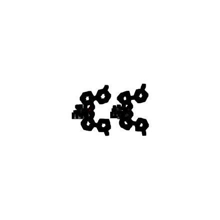 C[CH2][Hf]([CH3])([CH3])([CH3])(=[SiH2])([CH]1C=Cc2c(-c3cccc(C)c3)cccc21)[CH]1C=Cc2c(-c3cccc(C)c3)cccc21.C[CH2][Hf]([CH3])([CH3])([CH3])(=[SiH2])([CH]1C=Cc2c(-c3cccc(C)c3)cccc21)[CH]1C=Cc2c(-c3cccc(C)c3)cccc21